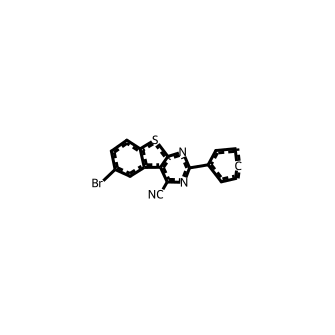 N#Cc1nc(-c2ccccc2)nc2sc3ccc(Br)cc3c12